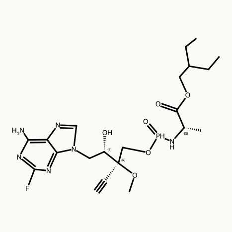 C#C[C@](CO[PH](=O)N[C@@H](C)C(=O)OCC(CC)CC)(OC)[C@@H](O)Cn1cnc2c(N)nc(F)nc21